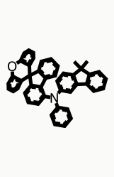 CC1(C)c2ccccc2-c2cc(N(c3ccccc3)c3cccc4c3-c3ccccc3C43c4ccccc4Oc4ccccc43)ccc21